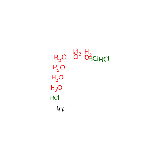 Cl.Cl.Cl.O.O.O.O.O.O.[In]